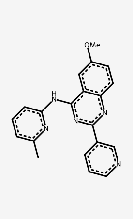 COc1ccc2nc(-c3cccnc3)nc(Nc3cccc(C)n3)c2c1